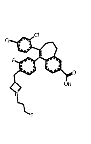 O=C(O)c1ccc2c(c1)CCCC(c1ccc(Cl)cc1Cl)=C2c1ccc(CC2CN(CCCF)C2)c(F)c1